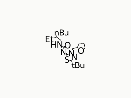 CCCCC(CC)CNC(=O)N=c1sc(C(C)(C)C)nn1C[C@H]1CCCO1